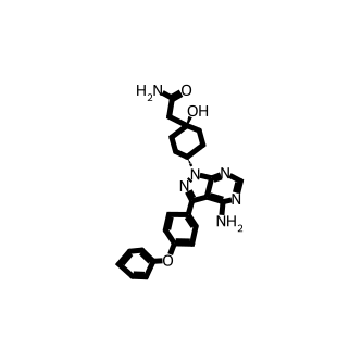 NC(=O)C[C@]1(O)CC[C@H](n2nc(-c3ccc(Oc4ccccc4)cc3)c3c(N)ncnc32)CC1